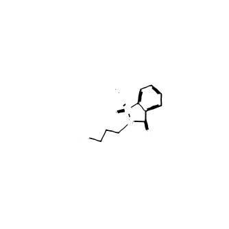 O=C1c2ccccc2S(=O)(=O)N1CCCS(=O)(=O)O.[NaH]